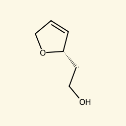 OC[CH][C@H]1C=CCO1